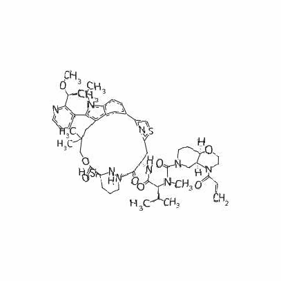 C=CC(=O)N1CCO[C@@H]2CCN(C(=O)N(C)[C@H](C(=O)N[C@H]3Cc4nc(cs4)-c4ccc5c(c4)c(c(-c4cccnc4[C@H](C)OC)n5CC)CC(C)(C)COC(=O)[C@@]4([SiH3])CCCN(N4)C3=O)C(C)C)C[C@@H]21